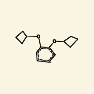 [c]1ccc(OC2CCC2)c(OC2CCC2)c1